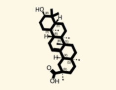 CC1(C)[C@H](O)CC[C@]2(C)[C@H]3CC=C4[C@@H]5C[C@](C)(C(=O)O)CC[C@]5(C)CC[C@@]4(C)[C@]3(C)CC[C@@H]12